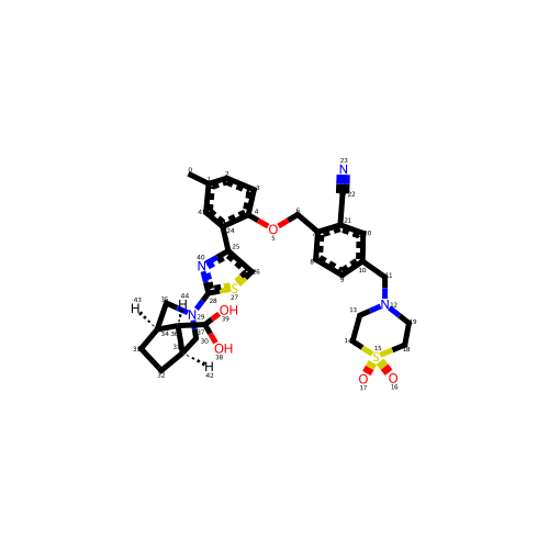 Cc1ccc(OCc2ccc(CN3CCS(=O)(=O)CC3)cc2C#N)c(-c2csc(N3C[C@H]4CC[C@@H](C3)[C@H]4C(O)O)n2)c1